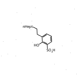 CCCCCCCCCc1cccc(S(=O)(=O)O)c1O